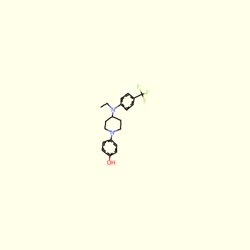 CCN(c1ccc(C(F)(F)F)cc1)C1CCN(c2ccc(O)cc2)CC1